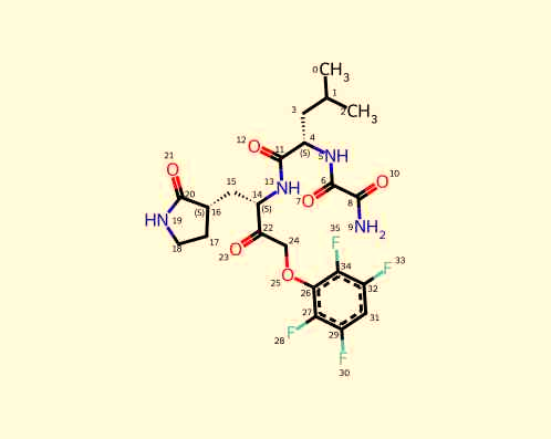 CC(C)C[C@H](NC(=O)C(N)=O)C(=O)N[C@@H](C[C@@H]1CCNC1=O)C(=O)COc1c(F)c(F)cc(F)c1F